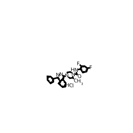 CC1CN(c2nnc(-c3ccccc3)c3ccccc23)CCN1C(=O)Nc1ccc(F)cc1F.Cl